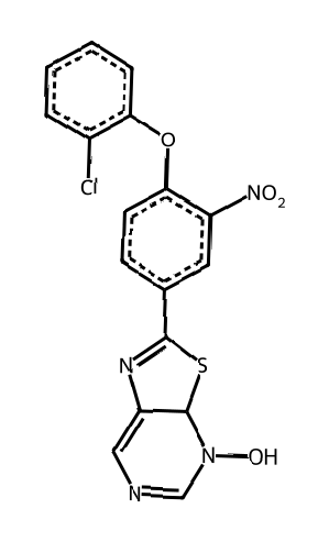 O=[N+]([O-])c1cc(C2=NC3=CN=CN(O)C3S2)ccc1Oc1ccccc1Cl